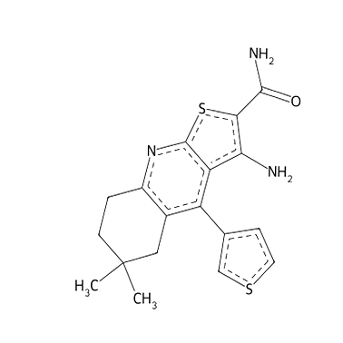 CC1(C)CCc2nc3sc(C(N)=O)c(N)c3c(-c3ccsc3)c2C1